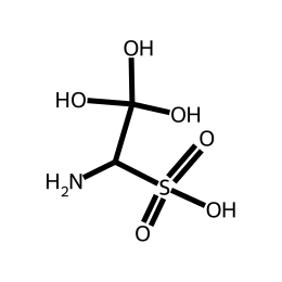 NC(C(O)(O)O)S(=O)(=O)O